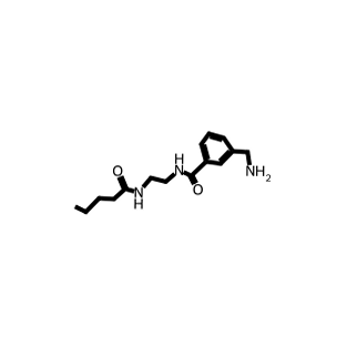 CCCCC(=O)NCCNC(=O)c1cccc(CN)c1